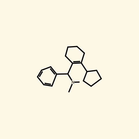 CN(C)C(C1=C(C2CCCC2)CCCC1)c1ccccc1